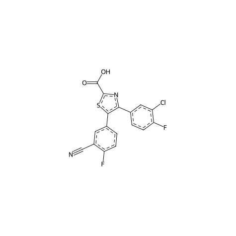 N#Cc1cc(-c2sc(C(=O)O)nc2-c2ccc(F)c(Cl)c2)ccc1F